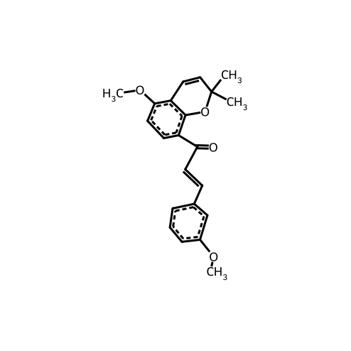 COc1cccc(C=CC(=O)c2ccc(OC)c3c2OC(C)(C)C=C3)c1